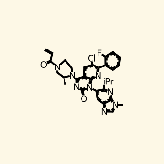 C=CC(=O)N1CCN(c2nc(=O)n(-c3cc4ncn(C)c4nc3C(C)C)c3nc(-c4ccccc4F)c(Cl)cc23)[C@@H](C)C1